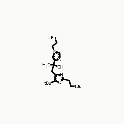 CC(C)(C)CCc1nc(CC(C)(C)c2cn(CCC(C)(C)C)cn2)c(C(C)(C)C)o1